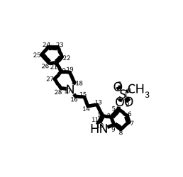 CS(=O)(=O)Oc1cccc2[nH]cc(CCCCN3CCC(c4ccccc4)CC3)c12